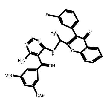 COc1cc(OC)cc(C(=N)c2c(N)ncnc2NC(C)c2oc3ccccc3c(=O)c2-c2cccc(F)c2)c1